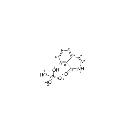 O=P(O)(O)O.O=c1[nH]ncc2ccccc12